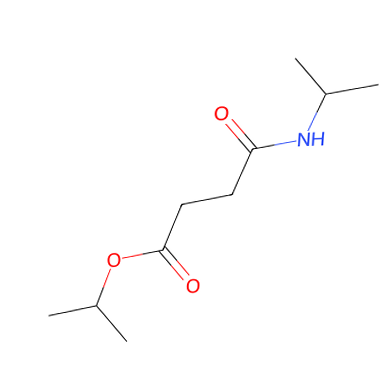 CC(C)NC(=O)CCC(=O)OC(C)C